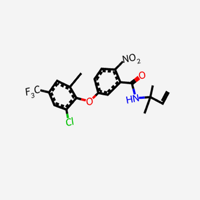 C=CC(C)(C)NC(=O)c1cc(Oc2c(C)cc(C(F)(F)F)cc2Cl)ccc1[N+](=O)[O-]